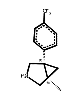 C[C@]12CNC[C@@]1(c1ccc(C(F)(F)F)cc1)C2